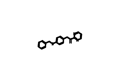 c1ccc(CSc2ccc(CNc3ncccn3)cc2)cc1